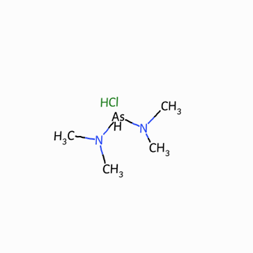 CN(C)[AsH]N(C)C.Cl